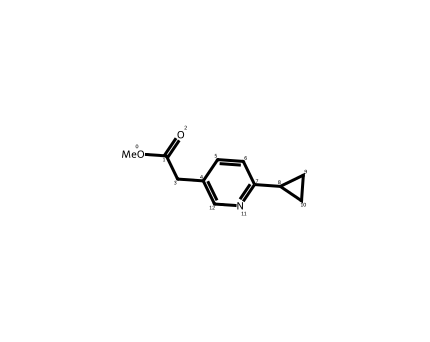 COC(=O)Cc1ccc(C2CC2)nc1